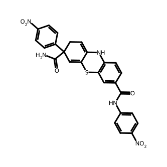 NC(=O)C1(c2ccc([N+](=O)[O-])cc2)C=C2Sc3cc(C(=O)Nc4ccc([N+](=O)[O-])cc4)ccc3NC2=CC1